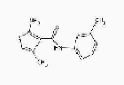 Cc1cccc(NC(=O)c2c(C)csc2N)c1